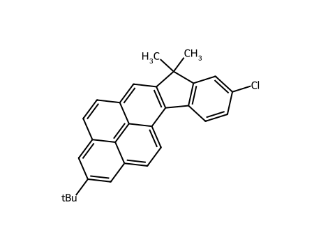 CC(C)(C)c1cc2ccc3cc4c(c5ccc(c1)c2c35)-c1ccc(Cl)cc1C4(C)C